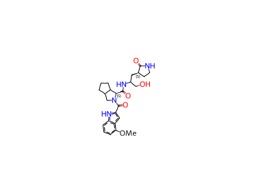 COc1cccc2[nH]c(C(=O)N3CC4CCCC4[C@H]3C(=O)NC(CO)C[C@@H]3CCNC3=O)cc12